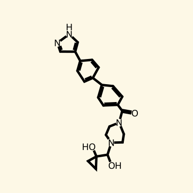 O=C(c1ccc(-c2ccc(-c3cn[nH]c3)cc2)cc1)N1CCN(C(O)C2(O)CC2)CC1